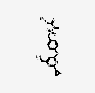 CN(C(=O)OC(C)(C)C)S(=O)(=O)Cc1ccc(Oc2cc(CN)nc(C3CC3)n2)cc1